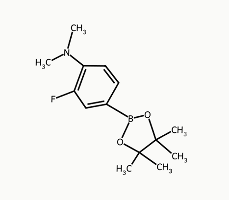 CN(C)c1ccc(B2OC(C)(C)C(C)(C)O2)cc1F